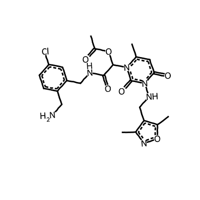 CC(=O)OC(C(=O)NCc1cc(Cl)ccc1CN)n1c(C)cc(=O)n(NCc2c(C)noc2C)c1=O